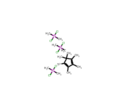 CC1=C(C)C(C)(C)[C]([Ti+3])=C1C.C[P-](C)(Cl)Cl.C[P-](C)(Cl)Cl.C[P-](C)(Cl)Cl